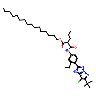 CCCCCCCCCCCCCCCCOC(=O)C(CCC)C(=O)Nc1ccc(-c2nn3nc(C(C)(C)C)c(Cl)c3[nH]2)c(CC)c1